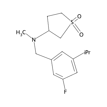 CC(C)c1cc(F)cc(CN(C)C2CCS(=O)(=O)C2)c1